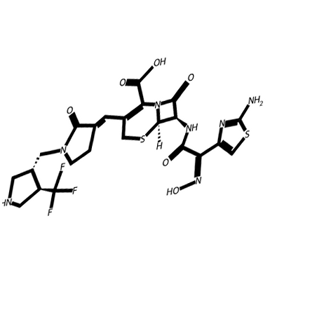 Nc1nc(/C(=N/O)C(=O)N[C@@H]2C(=O)N3C(C(=O)O)=C(/C=C4\CCN(C[C@H]5CNC[C@@H]5C(F)(F)F)C4=O)CS[C@H]23)cs1